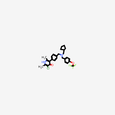 Cc1[nH]c(C)c(-c2ccc(CN(Cc3ccc(OC(F)(F)F)cc3)CC3CCCC3)cc2)c(=O)c1Cl